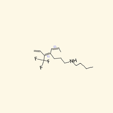 C=C/C(=C(\C=C/C)CCCNCCCC)C(F)(F)F